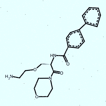 NCCOC[C@H](NC(=O)c1ccc(-c2ccccc2)cc1)C(=O)N1CCOCC1